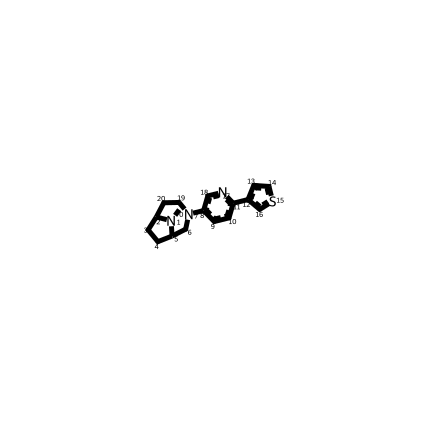 CN1C2CCC1CN(c1ccc(-c3ccsc3)nc1)CC2